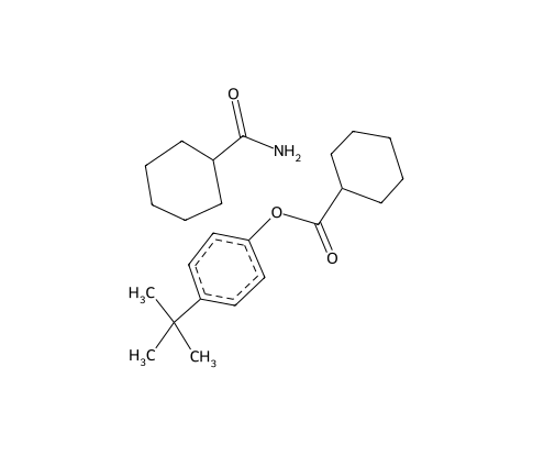 CC(C)(C)c1ccc(OC(=O)C2CCCCC2)cc1.NC(=O)C1CCCCC1